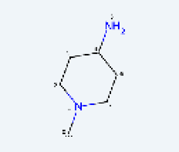 [C]N1CCC(N)CC1